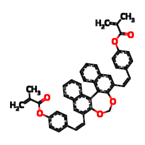 C=C(C)C(=O)Oc1ccc(/C=C\c2cc3ccccc3c3c2OCOc2c(/C=C\c4ccc(OC(=O)C(=C)C)cc4)cc4ccccc4c2-3)cc1